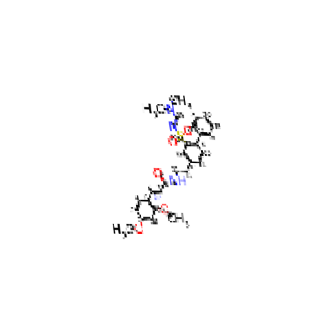 COc1ccc(/C=C/C(=O)NCCc2ccc(-c3ccccc3)c(S(=O)(=O)N=CN(C)C)c2)c(OC)c1